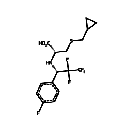 O=C(O)[C@H](CSCC1CC1)N[C@@H](c1ccc(F)cc1)C(F)(F)C(F)(F)F